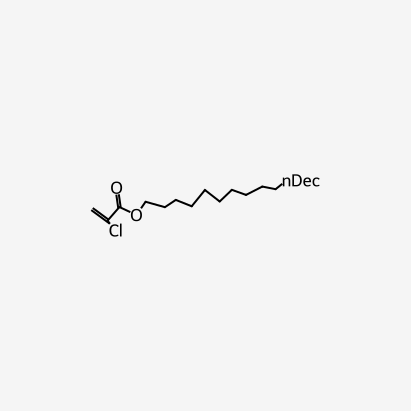 C=C(Cl)C(=O)OCCCCCCCCCCCCCCCCCCCC